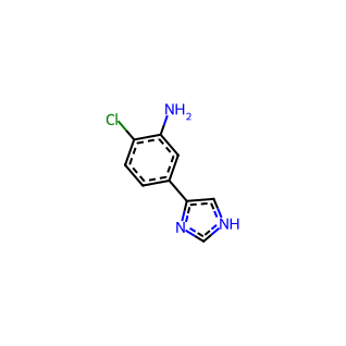 Nc1cc(-c2c[nH]cn2)ccc1Cl